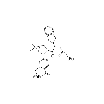 C=CCC(CC(=C)C1C(C(=O)[C@@H](CC(=C)CC(C)(C)C)C2Cc3ccccc3C2)CC2C1C2(C)C)C(=C)C(=C)CCC